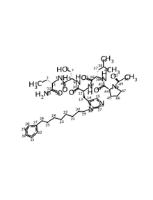 CC[C@H](NC(=O)[C@H](CO)NC(=O)[C@H](Cc1cncn1CCCCCCCCc1ccccc1)NC(=O)[C@H](CC(C)C)NC(=O)[C@@H]1CCCN1C(C)=O)C(N)=O